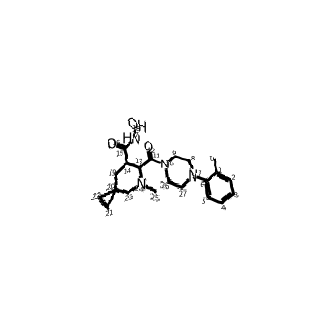 Cc1ccccc1N1CCN(C(=O)C2C(C(=O)NO)CC3(CC3)CN2C)CC1